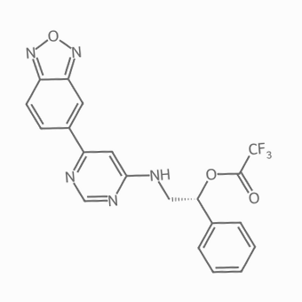 O=C(O[C@@H](CNc1cc(-c2ccc3nonc3c2)ncn1)c1ccccc1)C(F)(F)F